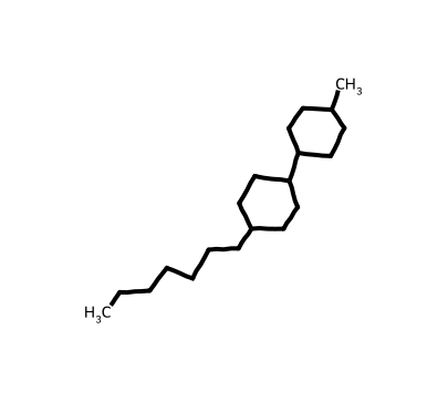 CCCCCCCC1CCC(C2CCC(C)CC2)CC1